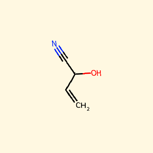 C=C[C](O)C#N